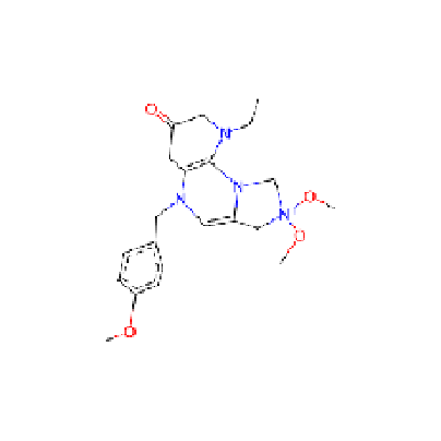 CCN1CC(=O)CC2=C1N1C[N+](OC)(OC)CC1=CN2Cc1ccc(OC)cc1